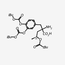 CCC(C)OC(=O)Oc1ccc(CC(N)(C[C@H](C)OC(=O)C(C)(C)C)C(=O)O)cc1OC(=O)OC(C)CC